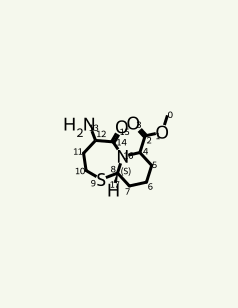 COC(=O)C1CCC[C@@H]2SCCC(N)C(=O)N12